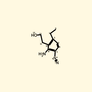 CCc1ccc([N+]#N)c(N)c1CCO